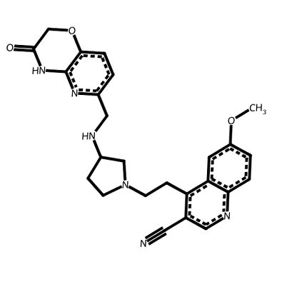 COc1ccc2ncc(C#N)c(CCN3CCC(NCc4ccc5c(n4)NC(=O)CO5)C3)c2c1